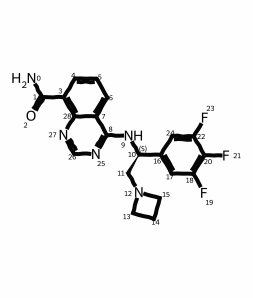 NC(=O)c1cccc2c(N[C@H](CN3CCC3)c3cc(F)c(F)c(F)c3)ncnc12